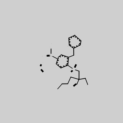 CCCCC(C=O)(CC)CS(=O)(=O)c1ccc([N+](=O)[O-])cc1Cc1ccccc1.O=[SH2]=O